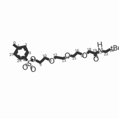 Cc1ccc(S(=O)(=O)OCCOCCOCCOCC(=O)NCC(C)(C)C)cc1